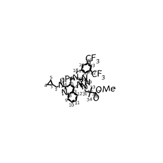 CCCN(CC1CC1)c1nc2ccccc2cc1CN(Cc1cc(C(F)(F)F)cc(C(F)(F)F)c1)c1nnn(CC(C)(C)C(=O)OC)n1